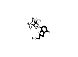 CC1(C)OB(c2ccc(F)c3cc(CO)sc23)OC1(C)C